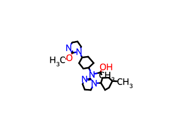 COC1=NCCCN1C1CCC(N(C2=NCCCN2C2CCC(C)CC2)C(C)O)CC1